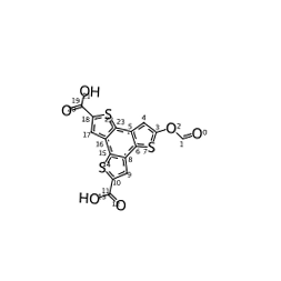 O=COc1cc2c(s1)c1cc(C(=O)O)sc1c1cc(C(=O)O)sc21